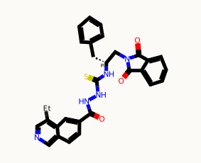 CCc1cncc2ccc(C(=O)NNC(=S)N[C@H](Cc3ccccc3)CN3C(=O)c4ccccc4C3=O)cc12